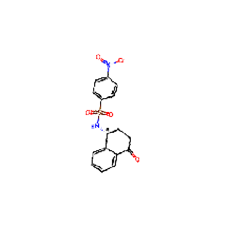 O=C1CC[C@@H](NS(=O)(=O)c2ccc([N+](=O)[O-])cc2)c2ccccc21